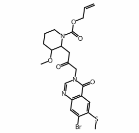 C=CCOC(=O)N1CCCC(OC)C1CC(=O)Cn1cnc2cc(Br)c(SC)cc2c1=O